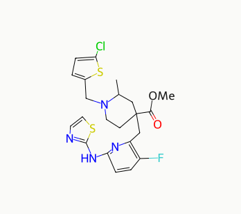 COC(=O)C1(Cc2nc(Nc3nccs3)ccc2F)CCN(Cc2ccc(Cl)s2)C(C)C1